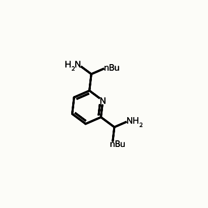 CCCCC(N)c1cccc(C(N)CCCC)n1